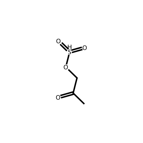 CC(=O)CO[SH](=O)=O